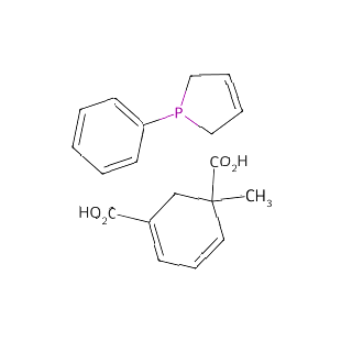 C1=CCP(c2ccccc2)C1.CC1(C(=O)O)C=CC=C(C(=O)O)C1